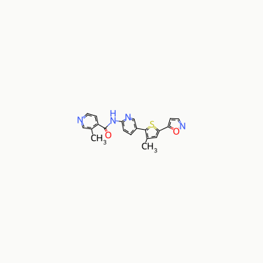 Cc1cnccc1C(=O)Nc1ccc(-c2sc(-c3ccno3)cc2C)cn1